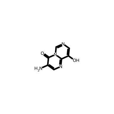 Nc1cnc2c(O)cncn2c1=O